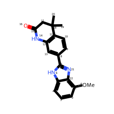 COc1cccc2[nH]c(-c3ccc4c(c3)NC(=O)CC4(C)C)nc12